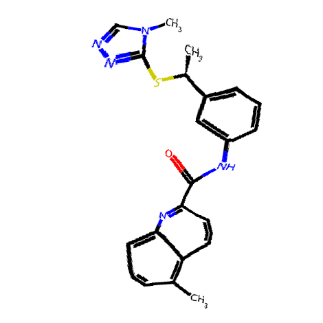 Cc1cccc2nc(C(=O)Nc3cccc([C@H](C)Sc4nncn4C)c3)ccc12